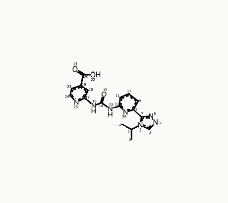 CC(C)n1cnnc1-c1cccc(NC(=O)Nc2cc(C(=O)O)ccn2)n1